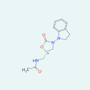 CC(=O)NC[C@H]1CN(N2CCc3ccccc32)C(=O)O1